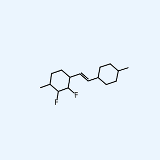 CC1CCC(C=CC2CCC(C)C(F)C2F)CC1